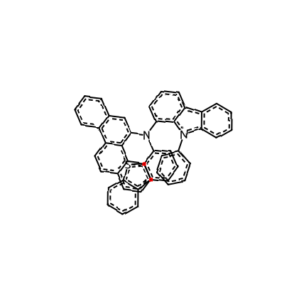 c1ccc(-n2c3ccccc3c3cccc(N(c4cccc5c4sc4ccccc45)c4cc5ccccc5c5ccc6ccccc6c45)c32)cc1